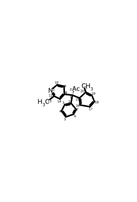 CC(=O)[C@](c1ccccc1)(c1ccnc(C)c1)c1ccccc1C